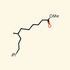 COC(=O)CCCCCC(C)CCCC(C)C